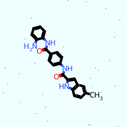 Cc1ccc2[nH]c(C(=O)Nc3ccc(C(=O)Nc4ccccc4N)cc3)cc2c1